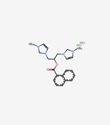 CCCCN1C=CN(CC(CN2C=CN(CCCC)C2)OC(=O)c2cccc3ccccc23)C1.Cl.Cl